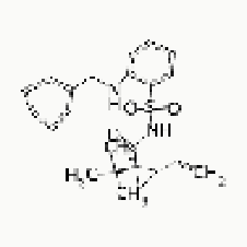 C=C[C@@H]1C[C@@]1(C(=O)NS(=O)(=O)c1ccccc1NCc1ccccc1)C(C)(C)C